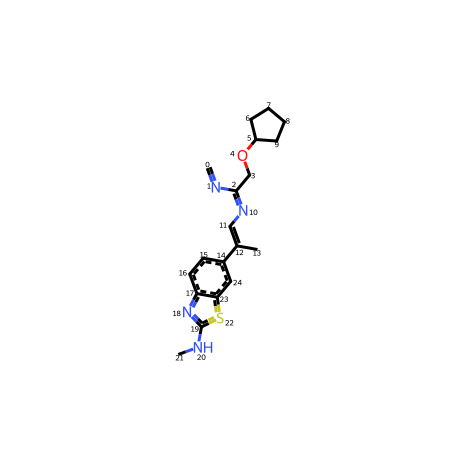 C=N/C(COC1CCCC1)=N\C=C(/C)c1ccc2nc(NC)sc2c1